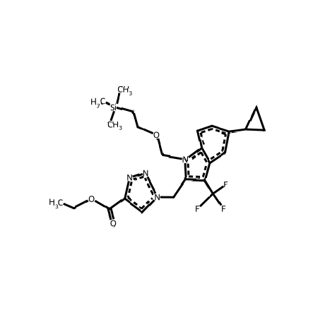 CCOC(=O)c1cn(Cc2c(C(F)(F)F)c3cc(C4CC4)ccc3n2COCC[Si](C)(C)C)nn1